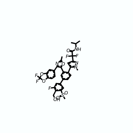 Cc1nc(-c2ccc3c(c2)OC(F)(F)O3)c(-c2cc(-c3cc(F)c(CO)c(S(C)(=O)=O)c3)ccc2-c2cc(C(F)(F)C(=O)NC(C)C)nn2C)o1